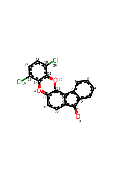 O=c1c2ccccc2c2c1ccc1oc3c(Cl)ccc(Cl)c3oc12